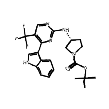 CC(C)(C)OC(=O)N1CC[C@@H](Nc2ncc(C(F)(F)F)c(-c3c[nH]c4ccccc34)n2)C1